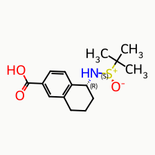 CC(C)(C)[S@@+]([O-])N[C@@H]1CCCc2cc(C(=O)O)ccc21